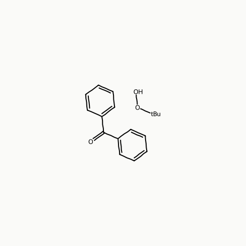 CC(C)(C)OO.O=C(c1ccccc1)c1ccccc1